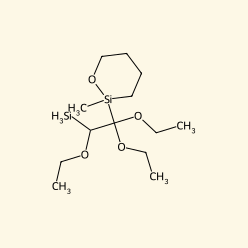 CCOC([SiH3])C(OCC)(OCC)[Si]1(C)CCCCO1